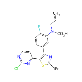 C=CCN(C(=O)O)c1cc(-c2nc(C(C)C)sc2-c2ccnc(Cl)n2)ccc1F